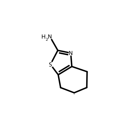 Nc1nc2c(s1)C[CH]CC2